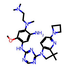 COc1cc(N(C)CCN(C)C)c(N)cc1Nc1ncnc(N2CC(C)(C)c3nc(N4CCC4)ccc32)n1